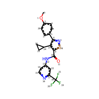 COc1ccc(-c2nsc(C(=O)Nc3ccnc(C(F)(F)F)c3)c2C2CC2)cc1